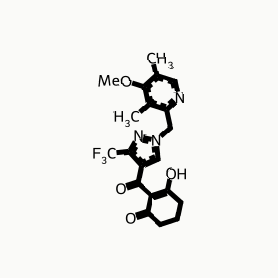 COc1c(C)cnc(Cn2cc(C(=O)C3=C(O)CCCC3=O)c(C(F)(F)F)n2)c1C